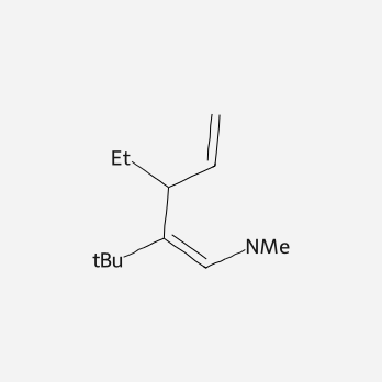 C=CC(CC)/C(=C\NC)C(C)(C)C